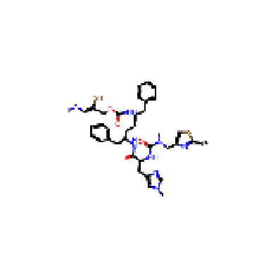 CC(C)c1nc(CN(C)C(=O)NC(Cc2cn(C)cn2)C(=O)NC(CCC(Cc2ccccc2)NC(=O)OC/C(S)=C/NI)Cc2ccccc2)cs1